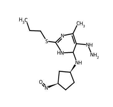 CCCSC1=NC(C)=C(NN)C(N[C@H]2CC[C@@H](N=O)C2)N1